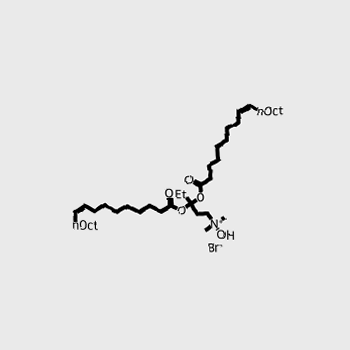 CCCCCCCC/C=C\CCCCCCCC(=O)OC(CC)(CC[N+](C)(C)O)OC(=O)CCCCCCC/C=C\CCCCCCCC.[Br-]